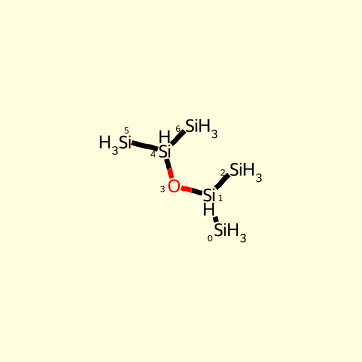 [SiH3][SiH]([SiH3])O[SiH]([SiH3])[SiH3]